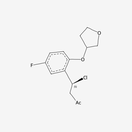 CC(=O)C[C@H](Cl)c1cc(F)ccc1OC1CCOC1